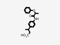 CC(Oc1ccccc1)C(=O)Nc1ccc(C(C)CC(=O)O)cc1